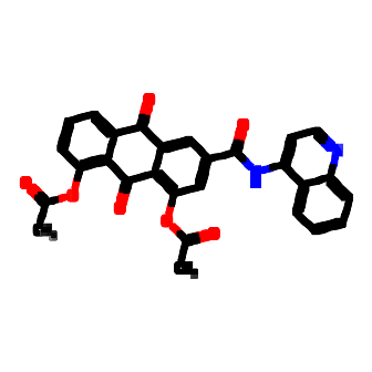 CC(=O)Oc1cccc2c1C(=O)c1c(OC(C)=O)cc(C(=O)Nc3ccnc4ccccc34)cc1C2=O